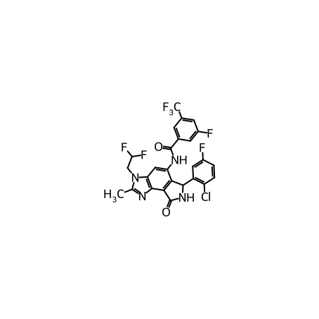 Cc1nc2c3c(c(NC(=O)c4cc(F)cc(C(F)(F)F)c4)cc2n1CC(F)F)C(c1cc(F)ccc1Cl)NC3=O